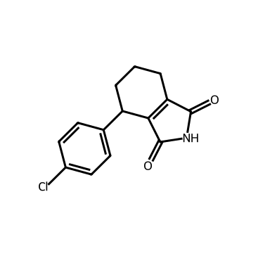 O=C1NC(=O)C2=C1CCCC2c1ccc(Cl)cc1